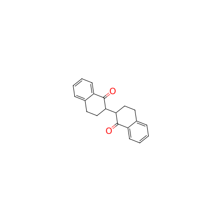 O=C1c2ccccc2CCC1C1CCc2ccccc2C1=O